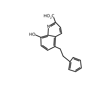 O=C(O)c1ccc2c(CCc3ccccc3)ccc(O)c2n1